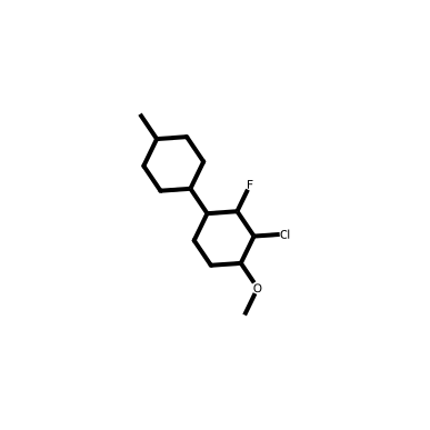 COC1CCC(C2CCC(C)CC2)C(F)C1Cl